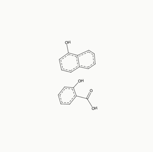 O=C(O)c1ccccc1O.Oc1cccc2ccccc12